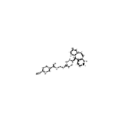 O=C(CCCN1CCC(=C2c3ccccc3C=Cc3ccccc32)CC1)N1CCC(O)CC1